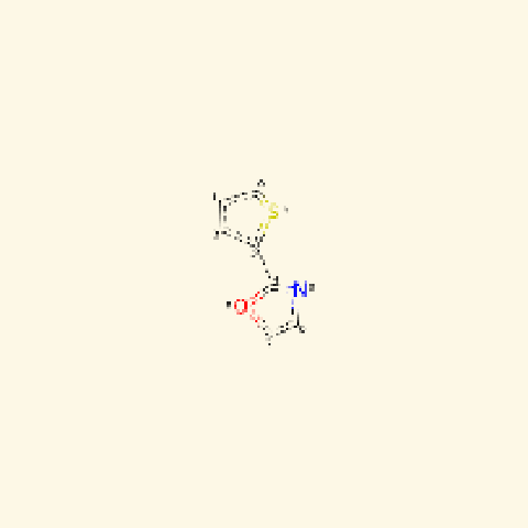 [c]1ccc(-c2ncco2)s1